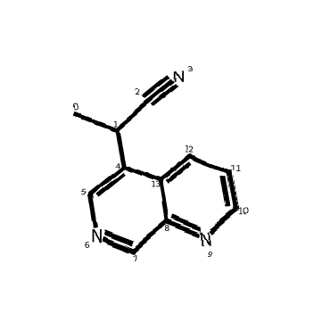 CC(C#N)c1cncc2ncccc12